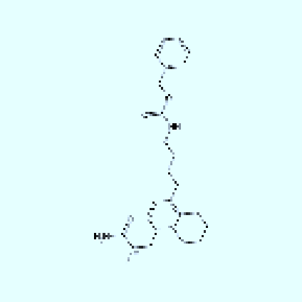 C[C@@H](Cc1ccc(CCCCNC(=O)OCc2ccccc2)c2c1CCCC2)C(N)=O